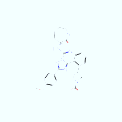 COc1ccc(-c2nc3c4c(C5CN(C(=O)O)C5)cccc4nc(N[C@@H]4CCCCNC4=O)n3n2)cc1